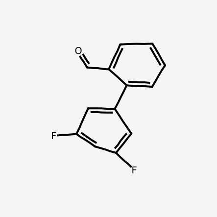 O=Cc1ccccc1-c1cc(F)cc(F)c1